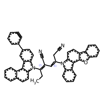 CC/C(=C(C#N)\C=C(/CC#N)n1c2ccccc2c2c3oc4ccccc4c3ccc21)n1c2ccc(-c3c#cccc3)cc2c2c3ccccc3ccc21